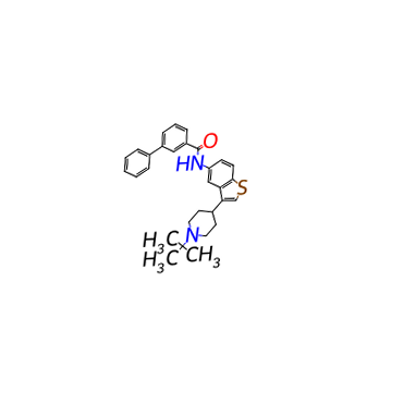 CC(C)(C)N1CCC(c2csc3ccc(NC(=O)c4cccc(-c5ccccc5)c4)cc23)CC1